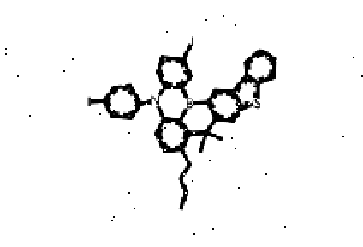 CCCCc1ccc2c3c1C(C)(C)c1cc4sc5ccccc5c4cc1B3c1cc(I)ccc1N2c1ccc(I)cc1